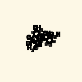 CCn1c(=O)c2cc(C)cc(C(C)Nc3ccccc3C(=O)O)c2c2cnn(C)c21